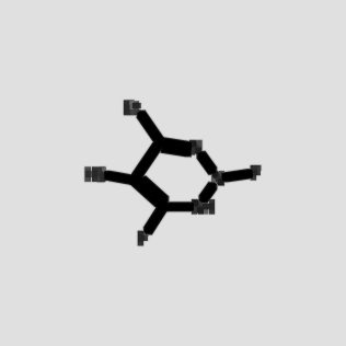 CCC1=NN(F)NC(F)=C1S